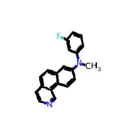 CN(c1cccc(F)c1)c1ccc2c(ccc3ccncc32)c1